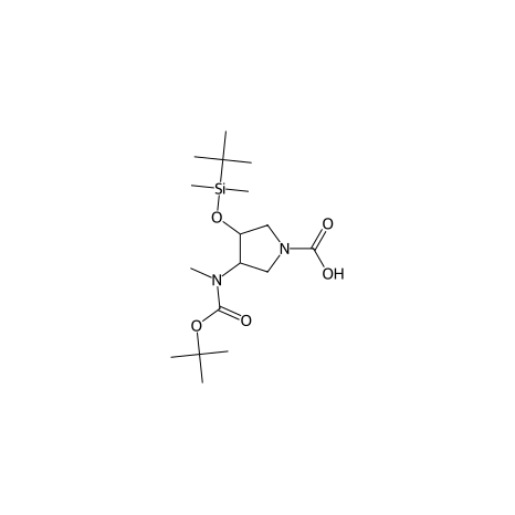 CN(C(=O)OC(C)(C)C)C1CN(C(=O)O)CC1O[Si](C)(C)C(C)(C)C